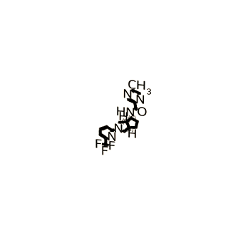 Cc1cnc(C(=O)N[C@H]2CC[C@@H]3CN(c4cccc(C(F)(F)F)n4)C[C@@H]32)cn1